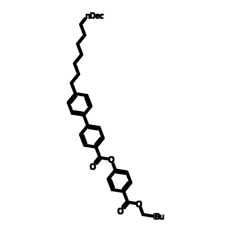 CCCCCCCCCCCCCCCCCc1ccc(-c2ccc(C(=O)Oc3ccc(C(=O)OCC(C)CC)cc3)cc2)cc1